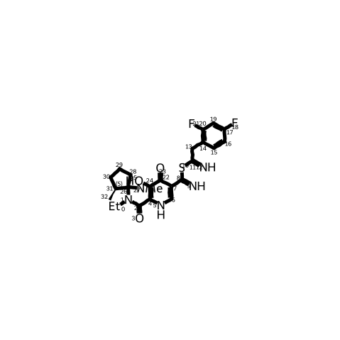 CCN(C(=O)c1[nH]cc(C(=N)SC(=N)Cc2ccc(F)cc2F)c(=O)c1O)C1(NC)CCC[C@@H]1C